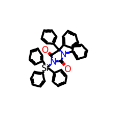 O=C1N(c2ccccc2)C(c2ccccc2)(c2ccccc2)C(=O)N1[Si](c1ccccc1)(c1ccccc1)c1ccccc1